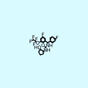 O=C(N[C@H](c1ccc(F)cc1)c1cc(F)cc(OC(F)(F)C(F)F)c1)N[C@@H]1CCC[C@H]1O